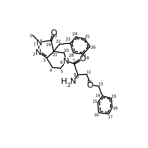 CN1N=C2CCN(C(=O)C(N)COCc3ccccc3)CC2(Cc2ccccc2)C1=O